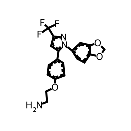 NCCOc1ccc(-c2cc(C(F)(F)F)nn2-c2ccc3c(c2)OCO3)cc1